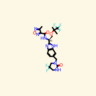 Cc1nonc1C(=O)N[C@@H](COC(C)(C)C(F)(F)F)c1nc2ccc(CN3CC(F)(F)CNC3=O)cc2[nH]1